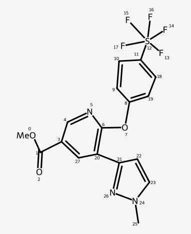 COC(=O)c1cnc(Oc2ccc(S(F)(F)(F)(F)F)cc2)c(-c2ccn(C)n2)c1